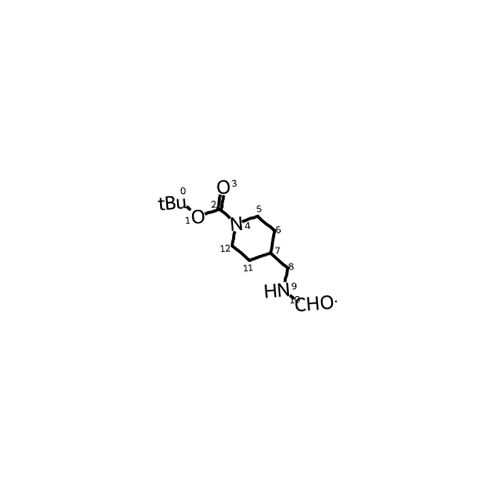 CC(C)(C)OC(=O)N1CCC(CN[C]=O)CC1